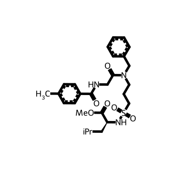 COC(=O)[C@H](CC(C)C)NS(=O)(=O)CCCN(Cc1ccccc1)C(=O)CNC(=O)c1ccc(C)cc1